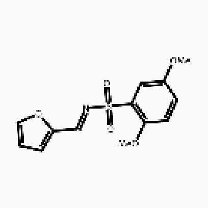 COc1ccc(OC)c(S(=O)(=O)N=Cc2ccco2)c1